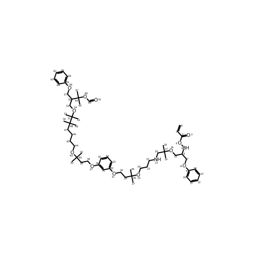 C=CC(=O)OBC(COc1ccccc1)COC(C)(C)CNCCCOC(C)(C)CCOc1cccc(OCCC(C)(C)OCCCCC(C)(C)C(C)(C)OCC(COc2ccccc2)C(C)(C)OC=O)c1